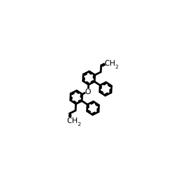 C=CCc1cccc(Oc2cccc(CC=C)c2-c2ccccc2)c1-c1ccccc1